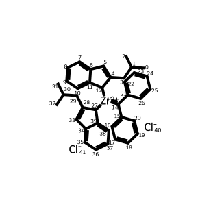 CC(C)CC1=Cc2ccccc2[CH]1[Zr+2](=[C](c1ccccc1)c1ccccc1)[CH]1C(CC(C)C)=Cc2ccccc21.[Cl-].[Cl-]